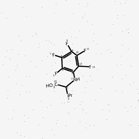 CC(C)C(Nc1c(F)c(F)c(F)c(F)c1F)C(=O)O